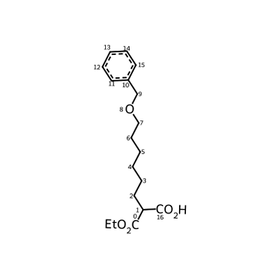 CCOC(=O)C(CCCCCCOCc1ccccc1)C(=O)O